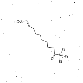 CCCCCCCCC=CCCCCCCCC(=O)[N+](CC)(CC)CC